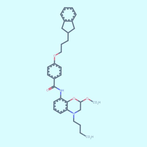 O=C(O)CCCN1CC(OC(=O)O)Oc2c(NC(=O)c3ccc(OCCCC4Cc5ccccc5C4)cc3)cccc21